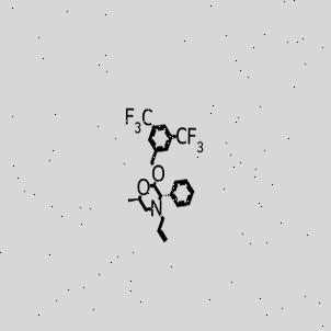 C=CCN1C[C@@H](C)O[C@@H](OCc2cc(C(F)(F)F)cc(C(F)(F)F)c2)[C@@H]1c1ccccc1